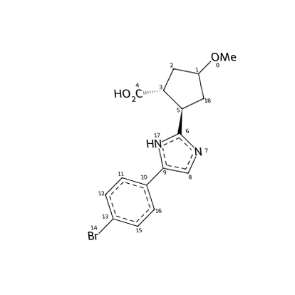 COC1C[C@@H](C(=O)O)[C@H](c2ncc(-c3ccc(Br)cc3)[nH]2)C1